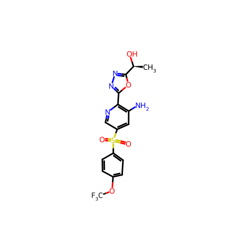 C[C@H](O)c1nnc(-c2ncc(S(=O)(=O)c3ccc(OC(F)(F)F)cc3)cc2N)o1